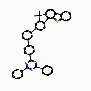 CC1(C)c2cc(-c3cccc(-c4ccc(-c5nc(-c6ccccc6)nc(-c6ccccc6)n5)cc4)c3)ccc2-c2c1ccc1c2sc2ccccc21